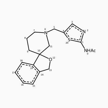 CC(=O)Nc1ncc(CN2CCCC3(C2)OCc2ccccc23)s1